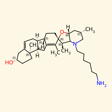 CC1=C2C[C@@H]3[C@@H](CC=C4C[C@@H](O)CC[C@@]43C)[C@@H]2CC[C@]12O[C@@H]1C[C@H](C)CN(CCCCCCN)C1[C@H]2C